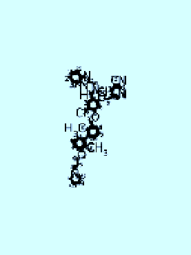 Cc1c(COc2cc(OCc3cncc(C#N)c3)c(CN(C)Cc3nc4ccccc4[nH]3)cc2Cl)cccc1-c1cccc(OCCCN2CCCC2)c1C